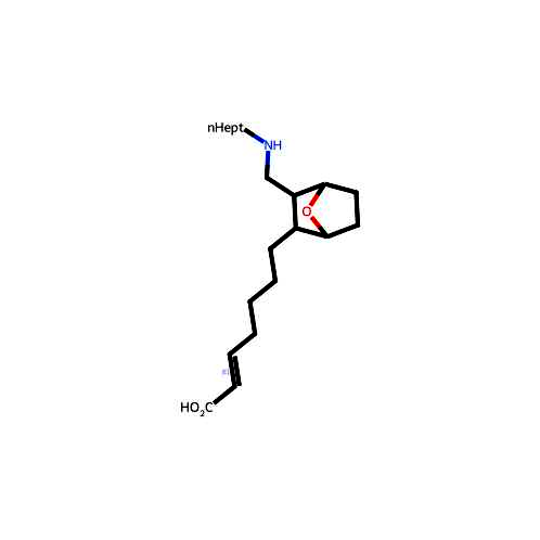 CCCCCCCNCC1C2CCC(O2)C1CCCC/C=C/C(=O)O